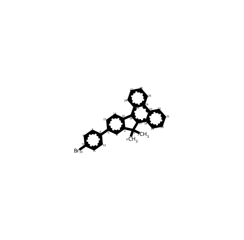 CC1(C)c2cc(-c3ccc(Br)cc3)ccc2-c2c1c1ccccc1c1ccccc21